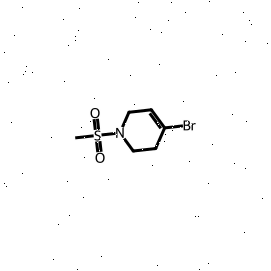 CS(=O)(=O)N1CC=C(Br)CC1